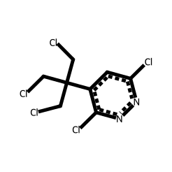 ClCC(CCl)(CCl)c1cc(Cl)nnc1Cl